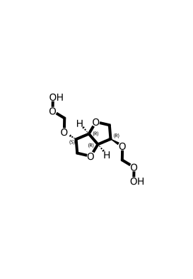 OOCO[C@H]1CO[C@H]2[C@@H]1OC[C@H]2OCOO